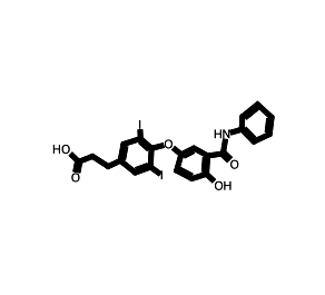 O=C(O)CCc1cc(I)c(Oc2ccc(O)c(C(=O)Nc3ccccc3)c2)c(I)c1